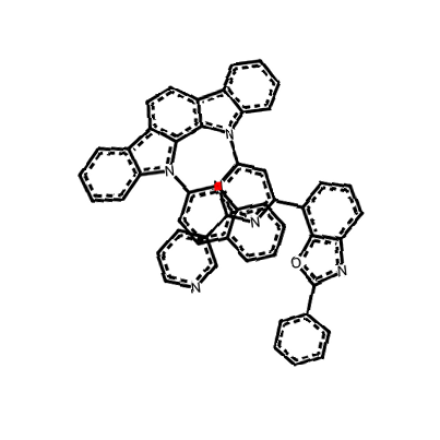 c1ccc(-c2nc3cccc(-c4cc(-n5c6ccccc6c6ccc7c8ccccc8n(-c8ccc9ccccc9c8)c7c65)nc(-c5cccnc5)n4)c3o2)cc1